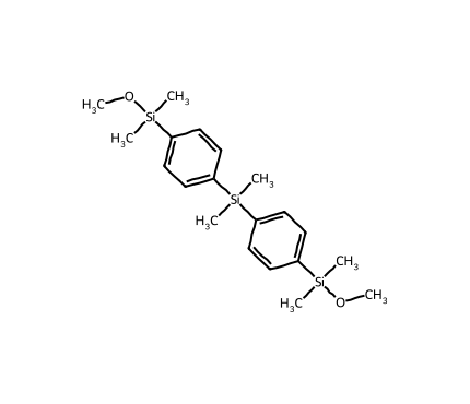 CO[Si](C)(C)c1ccc([Si](C)(C)c2ccc([Si](C)(C)OC)cc2)cc1